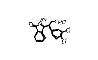 CC(C)N1C(=O)c2ccccc2C1C(CC=O)c1ccc(Cl)c(Cl)c1